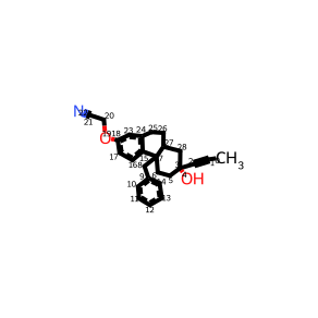 CC#CC1(O)CCC2(Cc3ccccc3)c3ccc(OCC#N)cc3CCC2C1